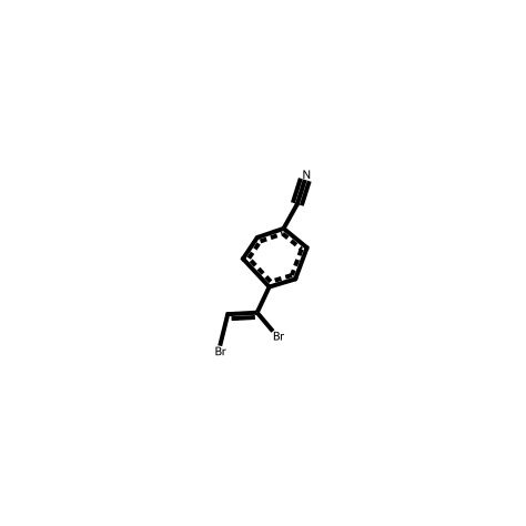 N#Cc1ccc(C(Br)=CBr)cc1